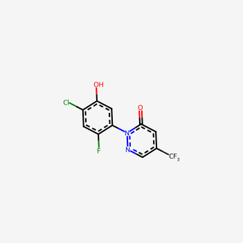 O=c1cc(C(F)(F)F)cnn1-c1cc(O)c(Cl)cc1F